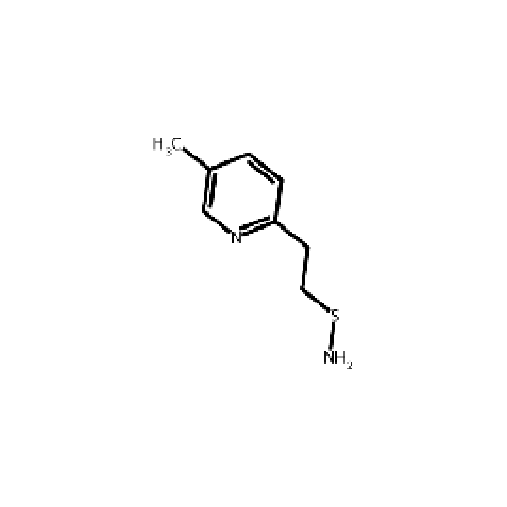 Cc1ccc(CCSN)nc1